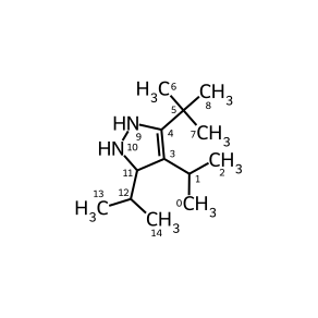 CC(C)C1=C(C(C)(C)C)NNC1C(C)C